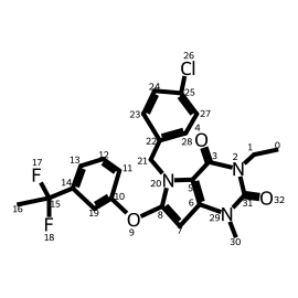 CCn1c(=O)c2c(cc(Oc3cccc(C(C)(F)F)c3)n2Cc2ccc(Cl)cc2)n(C)c1=O